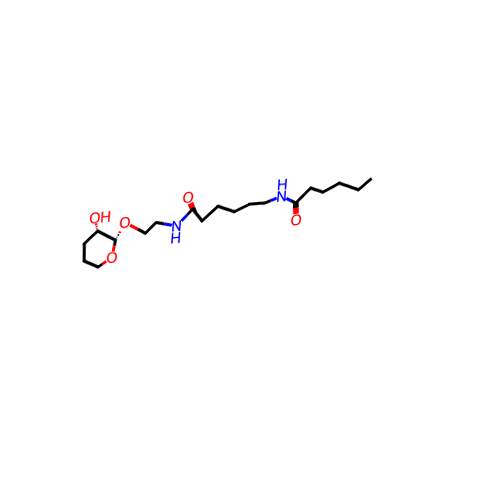 CCCCCC(=O)NCCCCCC(=O)NCCO[C@@H]1OCCC[C@@H]1O